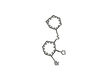 Clc1c(Br)cccc1Sc1ccccc1